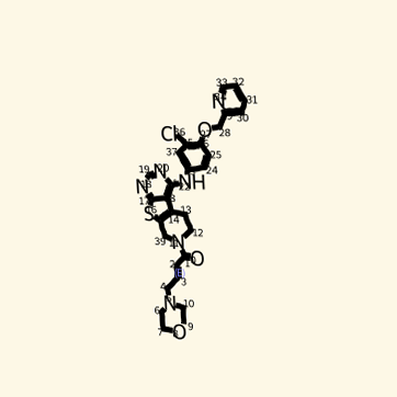 O=C(/C=C/CN1CCOCC1)N1CCc2c(sc3ncnc(Nc4ccc(OCc5ccccn5)c(Cl)c4)c23)C1